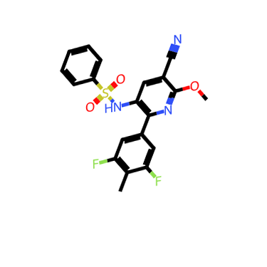 COc1nc(-c2cc(F)c(C)c(F)c2)c(NS(=O)(=O)c2ccccc2)cc1C#N